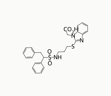 O=C(O)Cn1c(SCCCNS(=O)(=O)C(Cc2ccccc2)c2ccccc2)nc2ccccc21